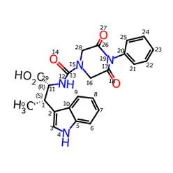 C[C@@H](c1c[nH]c2ccccc12)[C@@H](NC(=O)N1CC(=O)N(c2ccccc2)C(=O)C1)C(=O)O